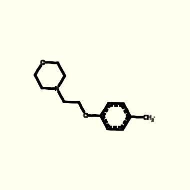 [CH2]c1ccc(OCCN2CCOCC2)cc1